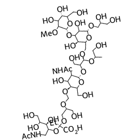 CC[C@@](OCC(CO)OCO[C@@H]1C(CO)O[C@@H](OC(CO)[C@@H](OCC2O[C@@H](OCC(O)CO)C(O)C(O[C@H]3OC(CO)[C@@H](O)C(O)C3OC)[C@@H]2O)OC(C)CO)C(NC(C)=O)C1O)(OC(CNC(C)=O)[C@H](O)C(O)CO)C(=O)O